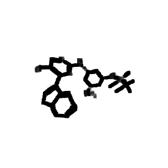 CC(C)(C)[Si](C)(C)O[C@H]1C[C@H](N)C[C@H](Nc2ncc(Cl)c(C3=CCc4ccccc43)n2)C1